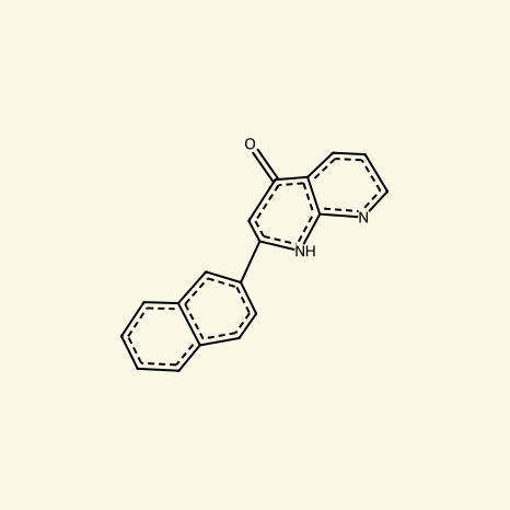 O=c1cc(-c2ccc3ccccc3c2)[nH]c2ncccc12